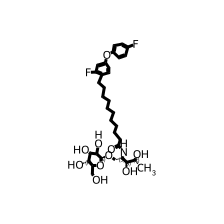 C[C@@H](O)[C@@H](O)[C@H](CO[C@H]1OC(CO)[C@H](O)C(O)C1O)NC(=O)CCCCCCCCCCc1ccc(Oc2ccc(F)cc2)cc1F